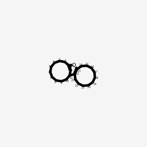 C1=C2CCCCCCCCCC1C1=C(CCCCCCCCCC1)O2